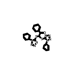 O=C(c1ccccc1)C(Sc1nnnn1-c1ccccc1)Sc1nnnn1-c1ccccc1